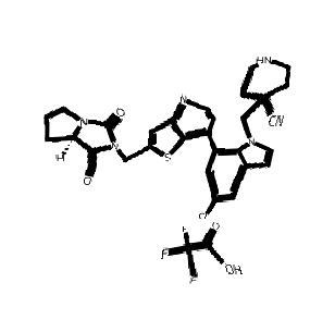 N#CC1(Cn2ccc3cc(Cl)cc(-c4ccnc5cc(CN6C(=O)[C@H]7CCCN7C6=O)sc45)c32)CCNCC1.O=C(O)C(F)(F)F